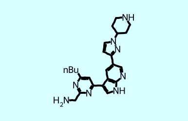 CCCCc1cc(-c2c[nH]c3ncc(-c4ccn(C5CCNCC5)n4)cc23)nc(CN)n1